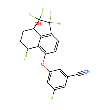 N#Cc1cc(F)cc(Oc2ccc3c4c2[C@@H](F)CC[C@@]4(O)C(F)(F)C3(F)F)c1